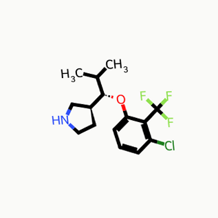 CC(C)[C@H](Oc1cccc(Cl)c1C(F)(F)F)[C@H]1CCNC1